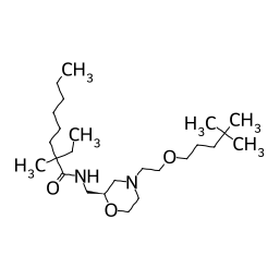 CCCCCCC(C)(CC)C(=O)NC[C@H]1CN(CCOCCCC(C)(C)C)CCO1